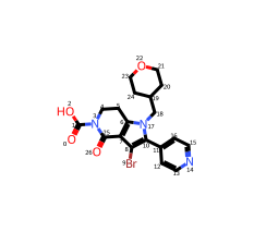 O=C(O)N1CCc2c(c(Br)c(-c3ccncc3)n2CC2CCOCC2)C1=O